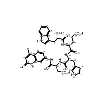 CC(=O)N[C@@H](Cc1c[nH]c2ccccc12)C(=O)N[C@@H](CCC(=O)O)C(=O)N[C@@H](Cc1c[nH]cn1)C(=O)N[C@@H](CC(=O)O)C(=O)Nc1ccc2c(C)cc(=O)oc2c1